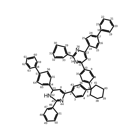 C1=C(c2ccc(C3(c4ccc(-c5cc(-c6ccc(-c7ccccc7)cc6)nc(-c6ccccc6)n5)cc4)CCCCC3)cc2)N=C(c2ccccc2)NC1c1ccc(-c2ccccc2)cc1